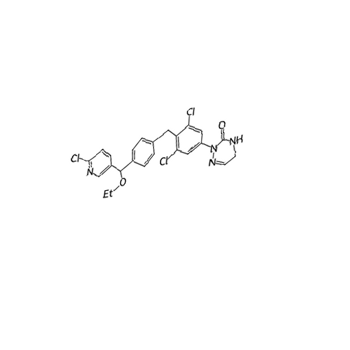 CCOC(c1ccc(Cc2c(Cl)cc(N3N=CCNC3=O)cc2Cl)cc1)c1ccc(Cl)nc1